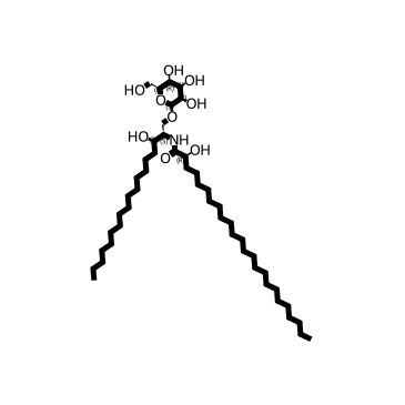 CCCCCCCCCCCCCCCCCCCCCC[C@@H](O)C(=O)N[C@@H](CO[C@H]1O[C@H](CO)[C@H](O)[C@H](O)[C@H]1O)[C@H](O)CCCCCCCCCCCCCCC